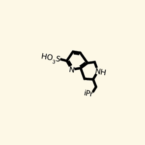 CC(C)CC1Cc2nc(S(=O)(=O)O)ccc2CN1